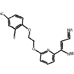 CN/C(=C\C=N)c1cccc(OCCOc2ccc(C#N)cc2F)n1